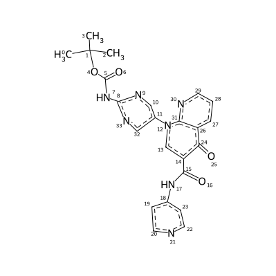 CC(C)(C)OC(=O)Nc1ncc(-n2cc(C(=O)Nc3ccncc3)c(=O)c3cccnc32)cn1